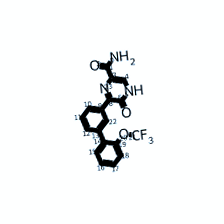 NC(=O)c1c[nH]c(=O)c(-c2cccc(-c3ccccc3OC(F)(F)F)c2)n1